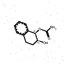 NC(=O)O[C@@H]1c2ccccc2CC[C@@H]1O